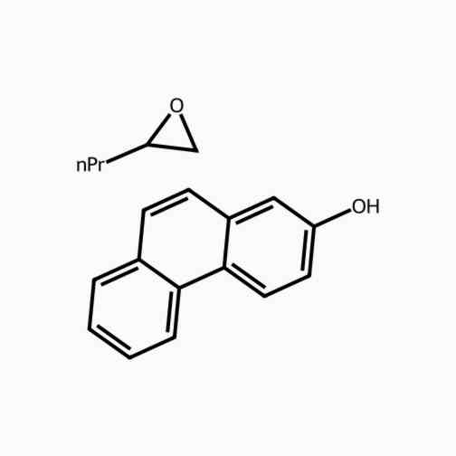 CCCC1CO1.Oc1ccc2c(ccc3ccccc32)c1